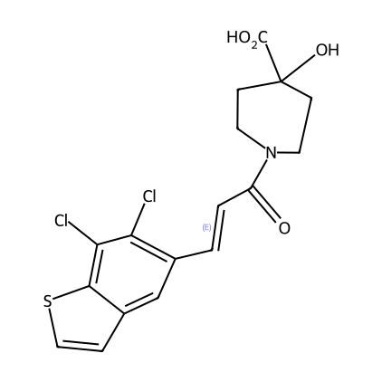 O=C(/C=C/c1cc2ccsc2c(Cl)c1Cl)N1CCC(O)(C(=O)O)CC1